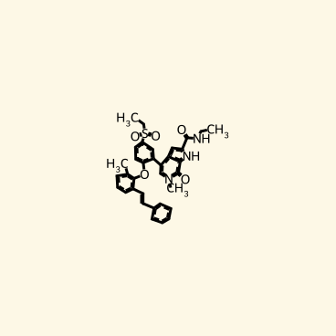 CCNC(=O)c1cc2c(-c3cc(S(=O)(=O)CC)ccc3Oc3c(C)cccc3C=Cc3ccccc3)cn(C)c(=O)c2[nH]1